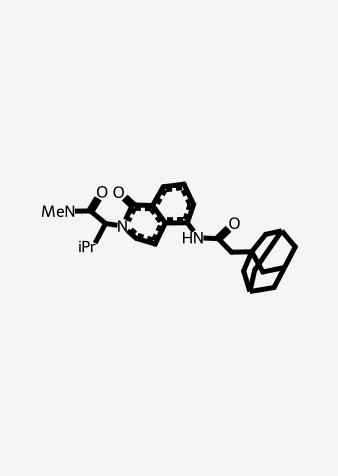 CNC(=O)C(C(C)C)n1ccc2c(NC(=O)CC34CC5CC(CC(C5)C3)C4)cccc2c1=O